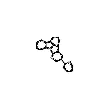 c1ccc(-c2cnc3c(c2)c2cccc4c5ccccc5n3c42)nc1